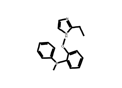 CCc1ncc[nH]1.COc1ccccc1B(C)c1ccccc1